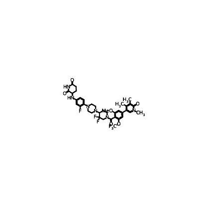 COc1cc(-c2cn(C)c(=O)c(C)c2C)cc(OC(F)(F)F)c1C(=O)N1CCC(N2CCN(c3ccc(NC4CCC(=O)NC4=O)cc3F)CC2)C(F)(F)C1